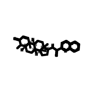 CN1C(=O)C=C[C@]2(C)[C@H]3CC[C@]4(C)[C@@H](NC(=O)c5ccc6ccccc6n5)CC[C@H]4[C@@H]3CC[C@@H]12